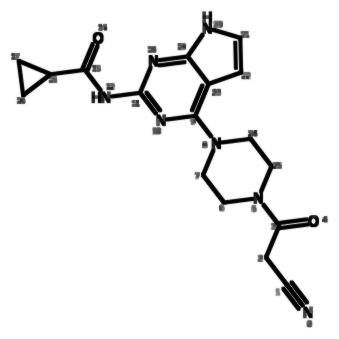 N#CCC(=O)N1CCN(c2nc(NC(=O)C3CC3)nc3[nH]ccc23)CC1